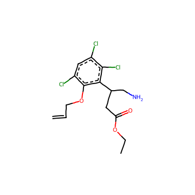 C=CCOc1c(Cl)cc(Cl)c(Cl)c1C(CN)CC(=O)OCC